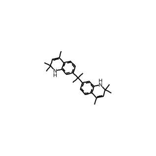 CC1=CC(C)(C)Nc2cc(C(C)(C)c3ccc4c(c3)NC(C)(C)C=C4C)ccc21